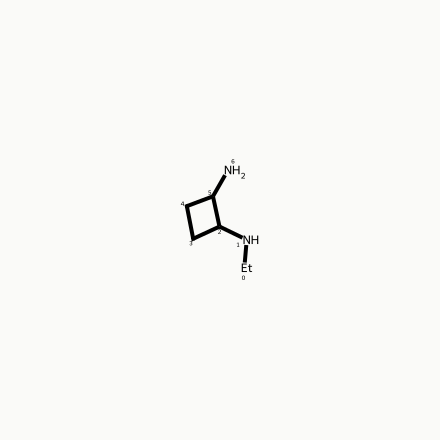 CCNC1CCC1N